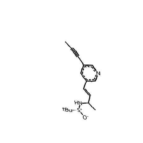 CC#Cc1cncc(/C=C/C(C)N[S@+]([O-])C(C)(C)C)c1